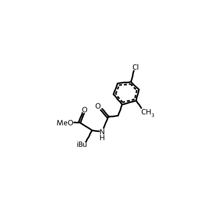 CCC(C)C(NC(=O)Cc1ccc(Cl)cc1C)C(=O)OC